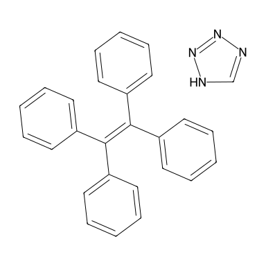 c1ccc(C(=C(c2ccccc2)c2ccccc2)c2ccccc2)cc1.c1nnn[nH]1